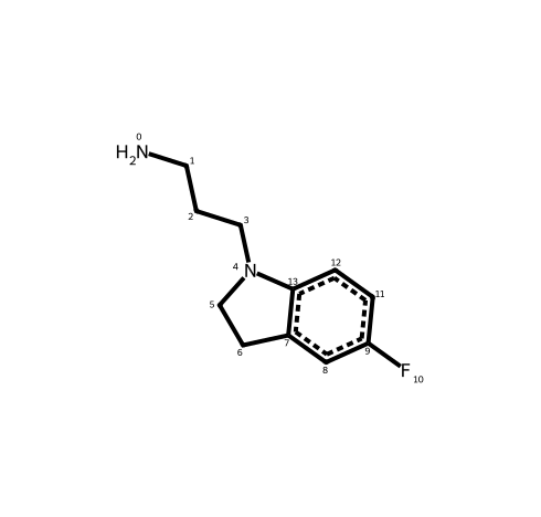 NCCCN1CCc2cc(F)ccc21